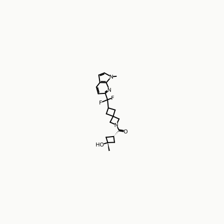 Cn1ccc2ccc(C(F)(F)C3CC4(C3)CN(C(=O)[C@H]3C[C@@](C)(O)C3)C4)nc21